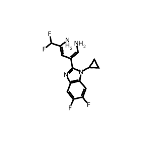 N/C=C(\C=C(/N)C(F)F)c1nc2cc(F)c(F)cc2n1C1CC1